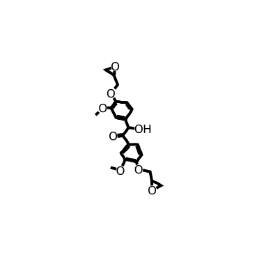 COc1cc(C(=O)C(O)c2ccc(OCC3CO3)c(OC)c2)ccc1OCC1CO1